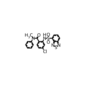 CN(C(=O)c1ccc(Cl)cc1NS(=O)(=O)c1cccc2nsnc12)c1ccccc1